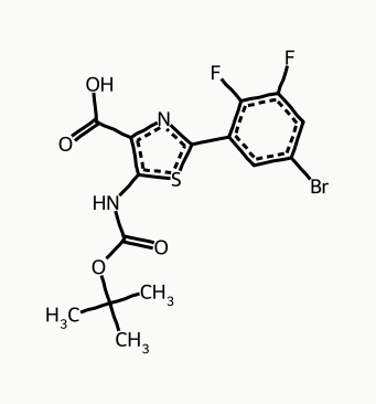 CC(C)(C)OC(=O)Nc1sc(-c2cc(Br)cc(F)c2F)nc1C(=O)O